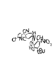 Cc1c([N+](=O)[O-])cc(C(C)(C)C)c(O)c1C(=O)Nc1ccc(C(C#N)c2ccc(Cl)cc2)c(C#N)c1